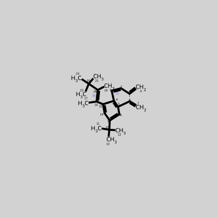 C=C/C=C\c1c(C=C)cc(C(C)(C)C)cc1/C(C)=C(\C)C(C)(C)C